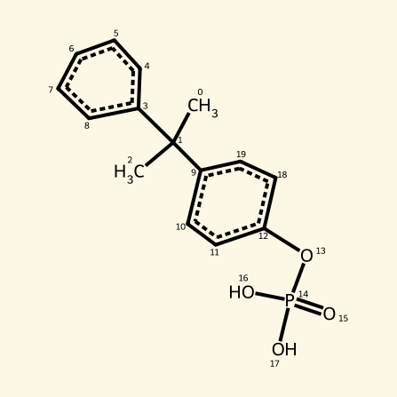 CC(C)(c1ccccc1)c1ccc(OP(=O)(O)O)cc1